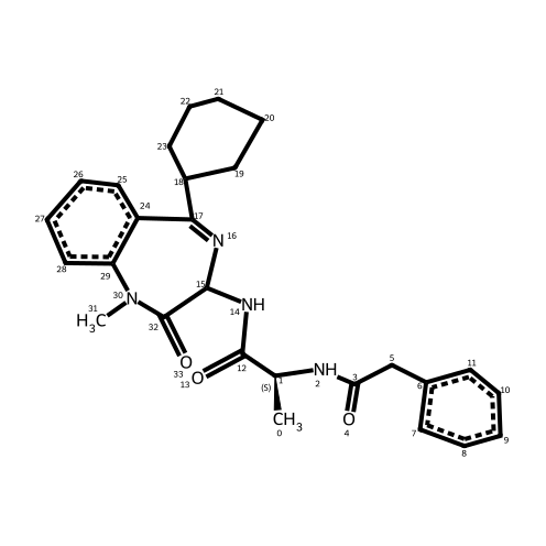 C[C@H](NC(=O)Cc1ccccc1)C(=O)NC1N=C(C2CCCCC2)c2ccccc2N(C)C1=O